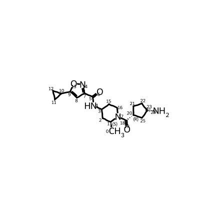 C[C@H]1CC(NC(=O)c2cc(C3CC3)on2)CCN1C(=O)[C@@H]1CC[C@H](N)C1